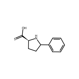 OC(=S)[C@@H]1CCC(c2ccccc2)N1